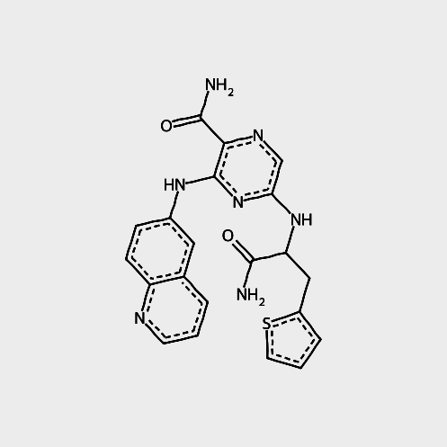 NC(=O)c1ncc(NC(Cc2cccs2)C(N)=O)nc1Nc1ccc2ncccc2c1